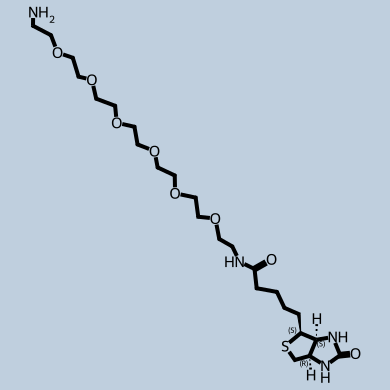 NCCOCCOCCOCCOCCOCCOCCNC(=O)CCCC[C@@H]1SC[C@@H]2NC(=O)N[C@@H]21